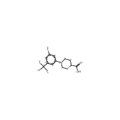 O=C(O)C1CCN(c2cc(F)cc(C(F)(F)F)c2)CC1